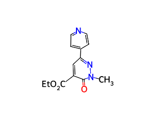 CCOC(=O)c1cc(-c2ccncc2)nn(C)c1=O